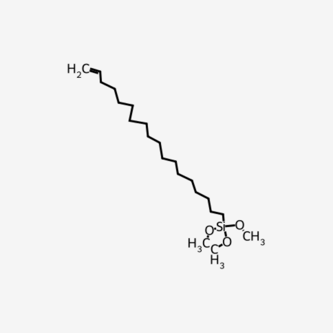 C=CCCCCCCCCCCCCCCCC[Si](OC)(OC)OC